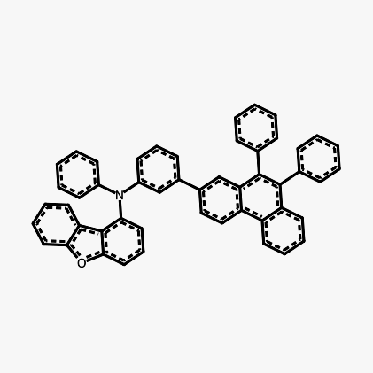 c1ccc(-c2c(-c3ccccc3)c3cc(-c4cccc(N(c5ccccc5)c5cccc6oc7ccccc7c56)c4)ccc3c3ccccc23)cc1